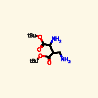 CC(C)(C)OC(=O)C(N)C(CN)C(=O)OC(C)(C)C